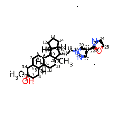 C[C@@]1(O)CC[C@H]2C(CCC3C4[C@@H]5CCC[C@@H]5[C@H](CCn5cc(-c6ncco6)cn5)[C@]4(C)CC[C@@H]32)C1